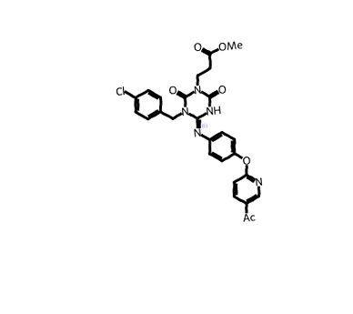 COC(=O)CCn1c(=O)[nH]/c(=N\c2ccc(Oc3ccc(C(C)=O)cn3)cc2)n(Cc2ccc(Cl)cc2)c1=O